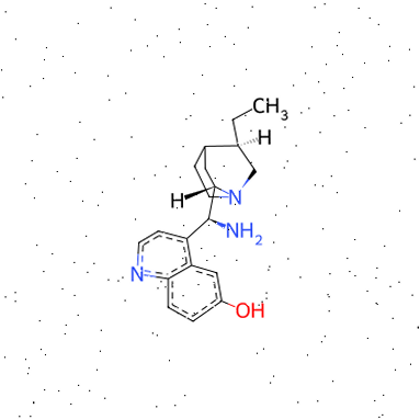 CC[C@H]1C[N@@]2CCC1C[C@H]2[C@@H](N)c1ccnc2ccc(O)cc12